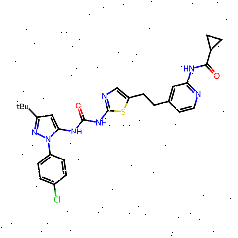 CC(C)(C)c1cc(NC(=O)Nc2ncc(CCc3ccnc(NC(=O)C4CC4)c3)s2)n(-c2ccc(Cl)cc2)n1